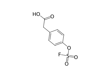 O=C(O)Cc1ccc(OS(=O)(=O)F)cc1